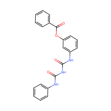 O=C(NC(=O)Nc1cccc(OC(=O)c2ccccc2)c1)Nc1ccccc1